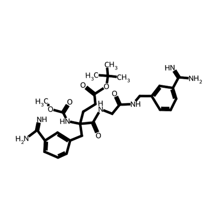 COC(=O)NC(CCC(=O)OC(C)(C)C)(Cc1cccc(C(=N)N)c1)C(=O)NCC(=O)NCc1cccc(C(=N)N)c1